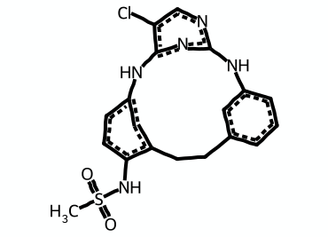 CS(=O)(=O)Nc1ccc2cc1CCc1cccc(c1)Nc1ncc(Cl)c(n1)N2